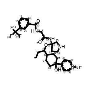 CCC(O[C@@]1(NC(=O)CNC(=O)c2cccc(C(F)(F)F)c2)CCNC1)C1CCC(O)(c2cc[n+]([O-])cc2)CC1